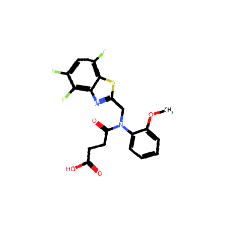 COc1ccccc1N(Cc1nc2c(F)c(F)cc(F)c2s1)C(=O)CCC(=O)O